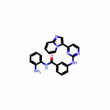 Nc1ccccc1NC(=O)c1cccc(Nc2nccc(-c3cnc4ccccn34)n2)c1